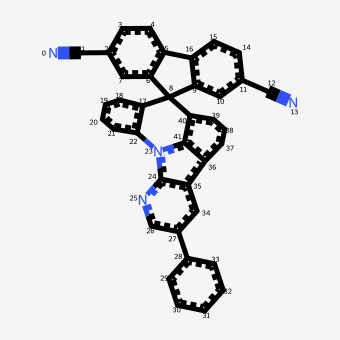 N#Cc1ccc2c(c1)C1(c3cc(C#N)ccc3-2)c2ccccc2-n2c3ncc(-c4ccccc4)cc3c3cccc1c32